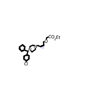 CCOC(=O)COC/C=C\CN1CCN(C(c2ccccc2)c2ccc(Cl)cc2)CC1